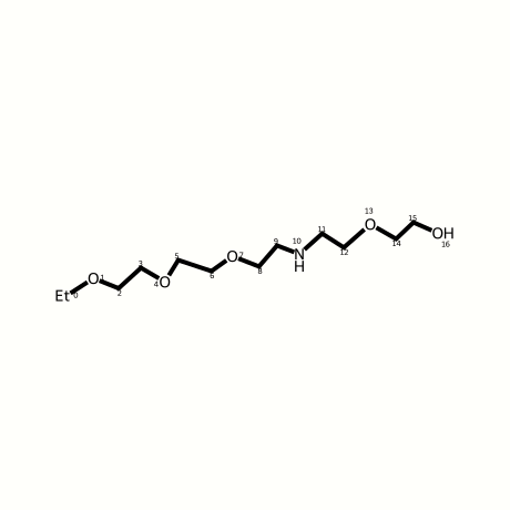 CCOCCOCCOCCNCCOCCO